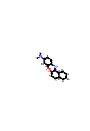 CN(C)c1ccc2nc3c(ccc4ccccc43)[o+]c2c1